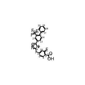 O=C(O)c1ccc(Cc2noc(-c3ccc(-c4ccccc4)c(C(F)(F)F)c3)n2)cc1F